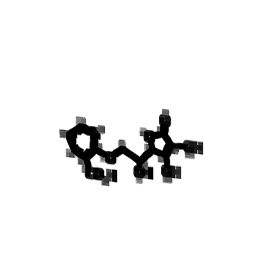 O=C1OC([C@@H](O)COc2ncccc2C(=O)O)C(O)=C1O